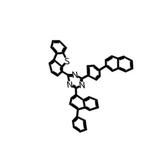 c1ccc(-c2ccc(-c3nc(-c4ccc(-c5ccc6ccccc6c5)cc4)nc(-c4cccc5c4sc4ccccc45)n3)c3ccccc23)cc1